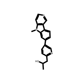 CC(O)Cc1ccc(-c2ccc3c4cnccc4n(C)c3c2)cn1